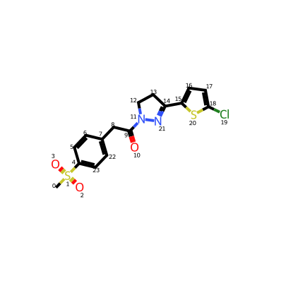 CS(=O)(=O)c1ccc(CC(=O)N2CCC(c3ccc(Cl)s3)=N2)cc1